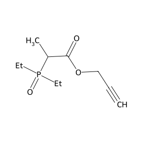 C#CCOC(=O)C(C)P(=O)(CC)CC